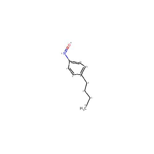 CCCCc1ccc(N=O)cc1